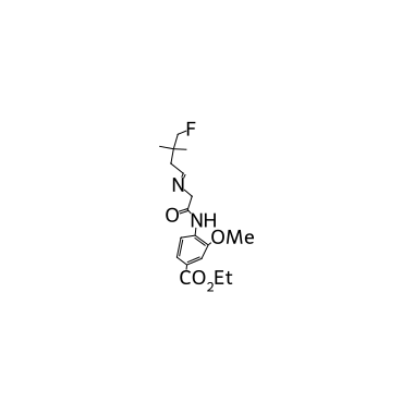 CCOC(=O)c1ccc(NC(=O)C/N=C/CC(C)(C)CF)c(OC)c1